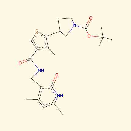 Cc1cc(C)c(CNC(=O)c2csc(C3CCN(C(=O)OC(C)(C)C)C3)c2C)c(=O)[nH]1